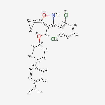 CC(C)c1ccc([C@H]2CC[C@H](OCc3c(-c4c(Cl)cccc4Cl)noc3C3CC3)CC2)cc1